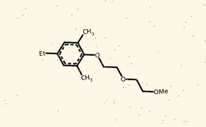 CCc1cc(C)c(OCCOCCOC)c(C)c1